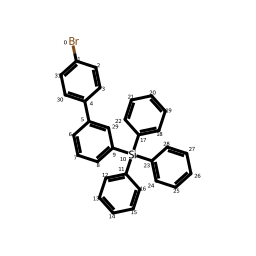 Brc1ccc(-c2cccc([Si](c3ccccc3)(c3ccccc3)c3ccccc3)c2)cc1